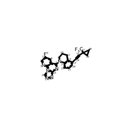 Fc1cnc2c(c1)c(N1CCCc3c(C#CC4(C(F)(F)F)CC4)cccc31)nc1nncn12